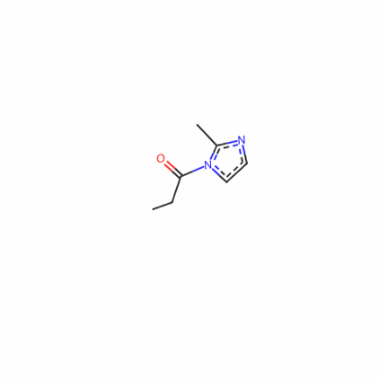 CCC(=O)n1ccnc1C